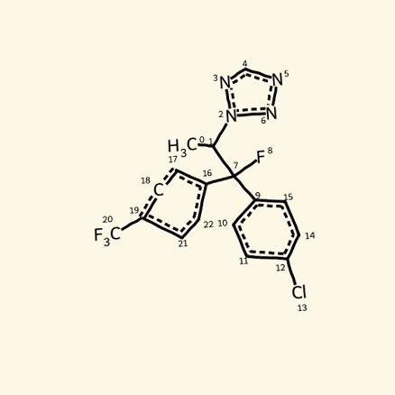 CC(n1ncnn1)C(F)(c1ccc(Cl)cc1)c1ccc(C(F)(F)F)cc1